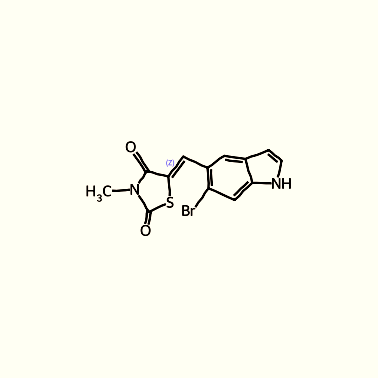 CN1C(=O)S/C(=C\c2cc3cc[nH]c3cc2Br)C1=O